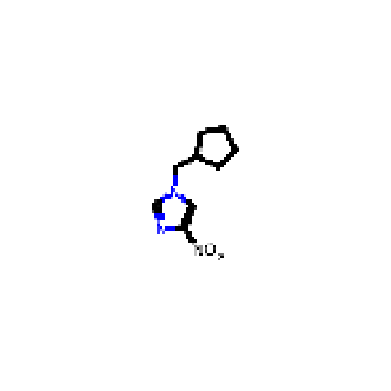 O=[N+]([O-])c1cn(CC2CCCC2)cn1